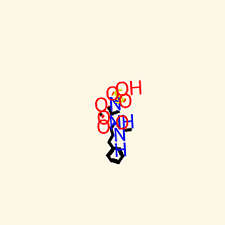 COC1(NC(=O)C(Cc2ccccc2)NC(C)=O)CN(S(=O)(=O)O)C1=O